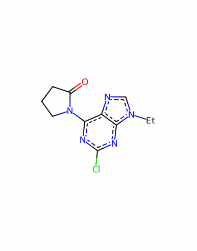 CCn1cnc2c(N3CCCC3=O)nc(Cl)nc21